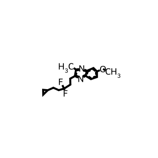 COc1ccc2nc(CCC(F)(F)CCC3CC3)c(C)nc2c1